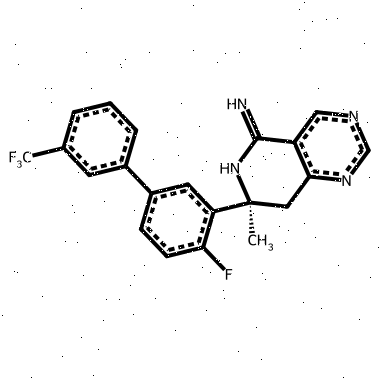 C[C@@]1(c2cc(-c3cccc(C(F)(F)F)c3)ccc2F)Cc2ncncc2C(=N)N1